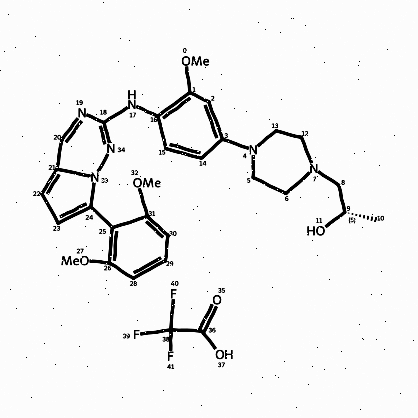 COc1cc(N2CCN(C[C@H](C)O)CC2)ccc1Nc1ncc2ccc(-c3c(OC)cccc3OC)n2n1.O=C(O)C(F)(F)F